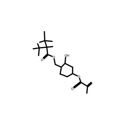 C=C(C)C(=O)OC1CCC(COC(=O)C(C)(C(C)(C)C)C(C)(C)C)C(O)C1